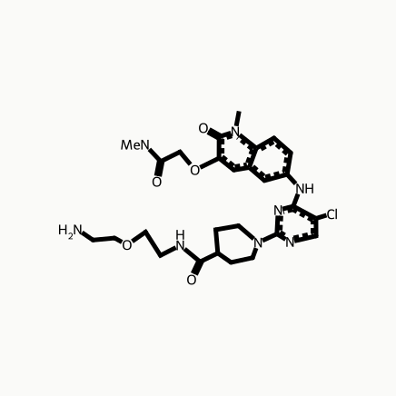 CNC(=O)COc1cc2cc(Nc3nc(N4CCC(C(=O)NCCOCCN)CC4)ncc3Cl)ccc2n(C)c1=O